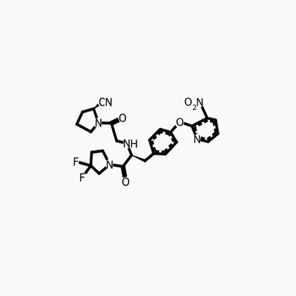 N#C[C@@H]1CCCN1C(=O)CN[C@@H](Cc1ccc(Oc2ncccc2[N+](=O)[O-])cc1)C(=O)N1CCC(F)(F)C1